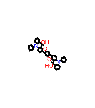 CC1(O)c2ccccc2N(c2ccccc2)c2ccc3c(oc4cc5c(cc43)oc3c4c(ccc35)N(c3ccccc3)c3ccccc3C4(C)O)c21